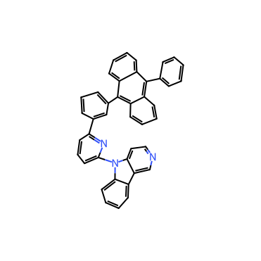 c1ccc(-c2c3ccccc3c(-c3cccc(-c4cccc(-n5c6ccccc6c6cnccc65)n4)c3)c3ccccc23)cc1